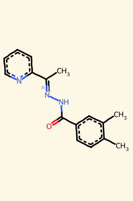 C/C(=N\NC(=O)c1ccc(C)c(C)c1)c1ccccn1